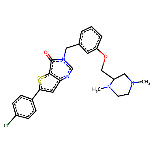 CN1CCN(C)C(COc2cccc(Cn3cnc4cc(-c5ccc(Cl)cc5)sc4c3=O)c2)C1